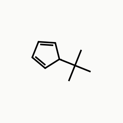 CC(C)(C)[C]1C=CC=C1